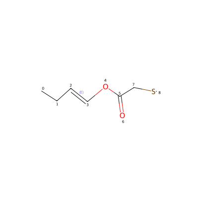 CC/C=C/OC(=O)C[S]